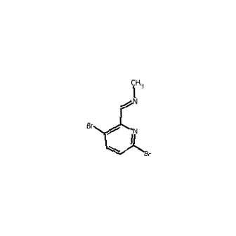 C/N=C/c1nc(Br)ccc1Br